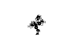 CC(C)(C[C@]1(c2ccc(-c3cnn(C4CC4)c3)cc2)NC(=N)N([C@H](COC(=O)NC2(C(F)(F)F)CC2)c2ccc(Cl)c(-c3ncn[nH]3)c2)C1=O)C(F)(F)F